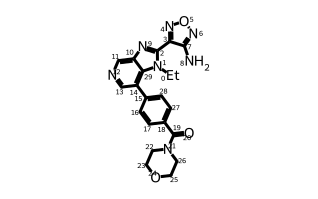 CCn1c(-c2nonc2N)nc2cncc(-c3ccc(C(=O)N4CCOCC4)cc3)c21